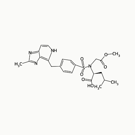 COC(=O)CN([C@@H](CC(C)C)C(=O)O)S(=O)(=O)c1ccc(Cc2[nH]ccc3nc(C)nc2-3)cc1